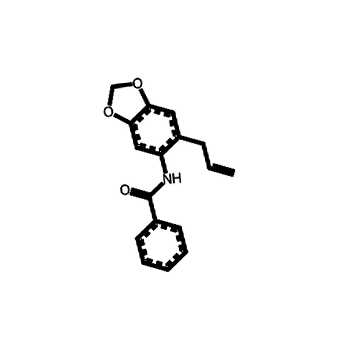 C=CCc1cc2c(cc1NC(=O)c1ccccc1)OCO2